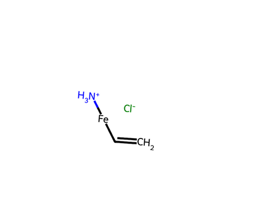 C=[CH][Fe][NH3+].[Cl-]